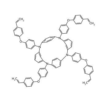 C=Cc1ccc(Oc2ccc(-n3c4ccc(cc4)n(-c4ccc(Oc5ccc(C=C)cc5)cc4)c4cccc(c4)n(-c4ccc(Oc5ccc(C=C)cc5)cc4)c4ccc(cc4)n(-c4ccc(Oc5ccc(C=C)cc5)cc4)c4cccc3c4)cc2)cc1